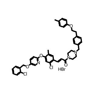 Br.Cc1ccc(OCCc2ccc(CN3CCN(C(=O)C=Cc4cc(C)c(Oc5ccc(OCc6ccccc6Cl)cn5)cc4Cl)CC3)cc2)cc1